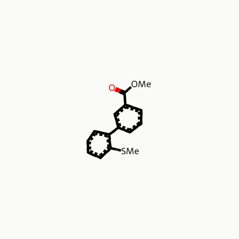 COC(=O)c1cccc(-c2ccccc2SC)c1